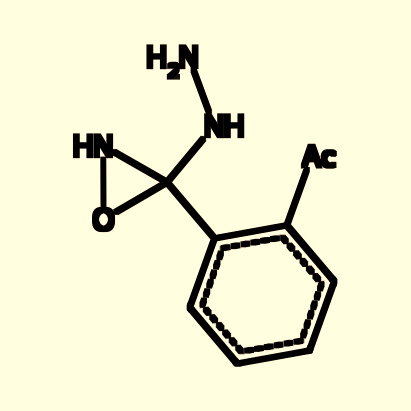 CC(=O)c1ccccc1C1(NN)NO1